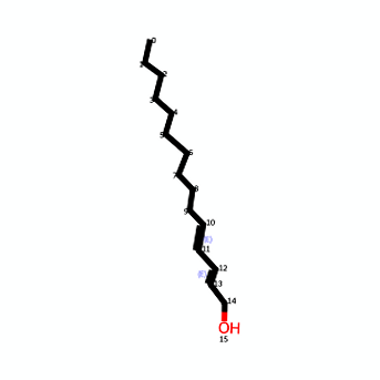 CCCCCCCCCC/C=C/C=C/CO